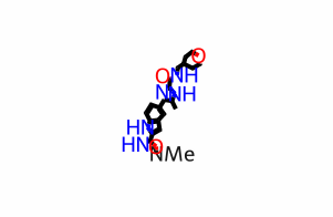 CNOC(=N)c1cc2cc(C3N=C(C(=O)NCC4CCOCC4)NC3C)ccc2[nH]1